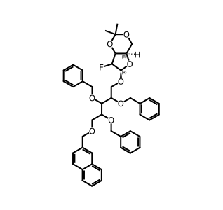 CC1(C)OC[C@H]2O[C@@H](OCC(OCc3ccccc3)C(OCc3ccccc3)C(COCc3ccc4ccccc4c3)OCc3ccccc3)C(F)C2O1